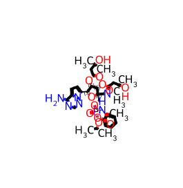 CC(C)OC(=O)[C@H](C)N[P@](=O)(OC[C@@]1(C#N)O[C@@H](c2ccc3c(N)ncnn23)[C@H](OC(=O)CC(C)(C)O)[C@@H]1OC(=O)CC(C)(C)O)Oc1ccccc1